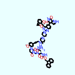 COc1ccc(C#CCNC2(C)CCN(C3CCN(c4nc([C@@](CO)(OC5CC5)c5ccccc5)c5cc(-c6cn(C)c(=O)c7[nH]ccc67)ccc5n4)CC3)CC2)cc1N1CCC(=O)N(CNC(=O)[C@H](CC(N)=O)NC(=O)OCC2c3ccccc3-c3ccccc32)C1=O